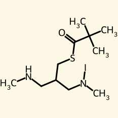 CNCC(CSC(=O)C(C)(C)C)CN(C)I